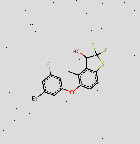 CCc1cc(F)cc(Oc2ccc3c(c2C)C(O)C(F)(F)S3)c1